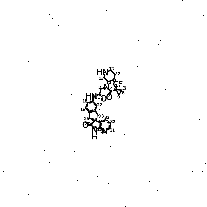 O=C(CN(C(=O)C1(C(F)(F)F)CC1)[C@H]1CCCNC1)Nc1ccc2c(c1)C[C@@]1(C2)C(=O)Nc2ncccc21